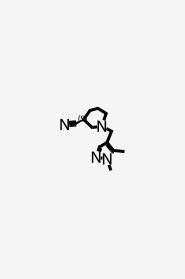 Cc1c(CN2CCC[C@H](C#N)C2)cnn1C